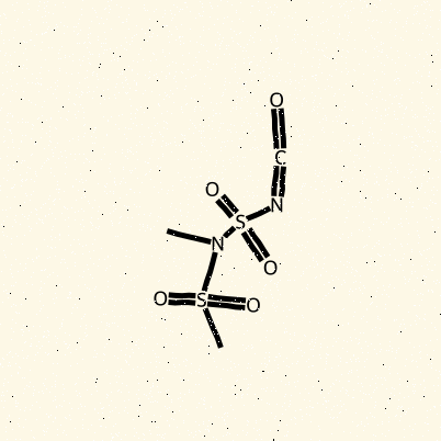 CN(S(C)(=O)=O)S(=O)(=O)N=C=O